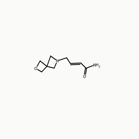 NC(=O)C=CCN1CC2(COC2)C1